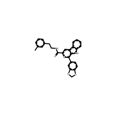 Cc1cccc(CCNC(=O)c2cc3c([nH]c4ccccc43)c(-c3ccc4c(c3)OCO4)n2)c1